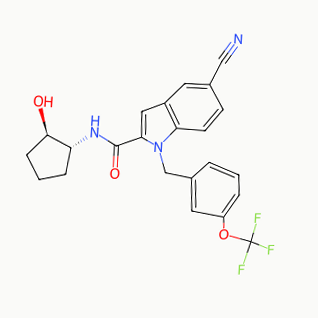 N#Cc1ccc2c(c1)cc(C(=O)N[C@@H]1CCC[C@H]1O)n2Cc1cccc(OC(F)(F)F)c1